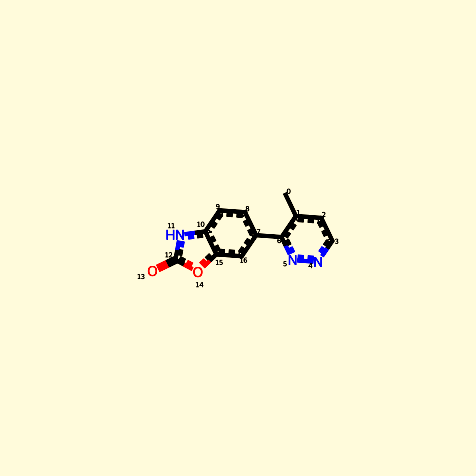 Cc1ccnnc1-c1ccc2[nH]c(=O)oc2c1